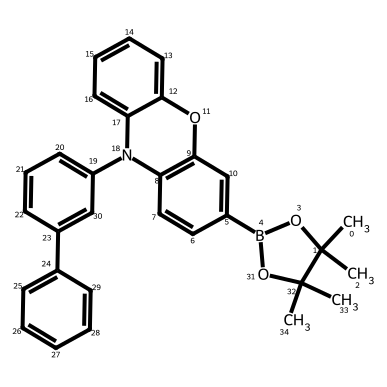 CC1(C)OB(c2ccc3c(c2)Oc2ccccc2N3c2cccc(-c3ccccc3)c2)OC1(C)C